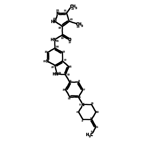 CC=C1CCN(c2ccc(-c3cc4cc(NC(=O)c5[nH]nc(C)c5C)cnc4[nH]3)cc2)CC1